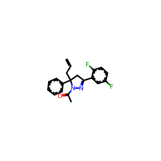 C=CCC1(c2ccccc2)CC(c2cc(F)ccc2F)=NN1C(C)=O